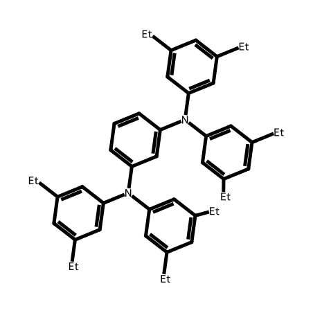 CCc1cc(CC)cc(N(c2cc(CC)cc(CC)c2)c2cccc(N(c3cc(CC)cc(CC)c3)c3cc(CC)cc(CC)c3)c2)c1